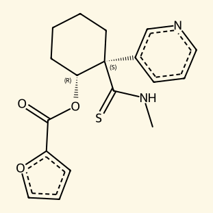 CNC(=S)[C@]1(c2cccnc2)CCCC[C@H]1OC(=O)c1ccco1